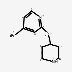 CC(C)c1ccnc(NC2CCNCC2)c1